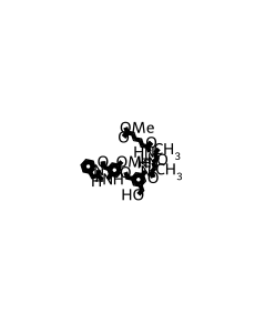 COC(=O)CCCCC(=O)NC(C)C(=O)NC(C)C(=O)Nc1cc(CO)cc(COc2cc3c(cc2OC)C(=O)N2c4ccccc4C[C@H]2CN3)c1